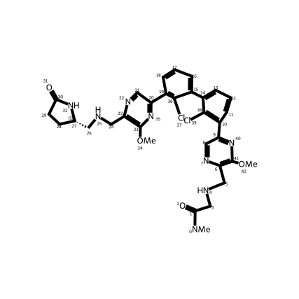 CNC(=O)CNCc1ncc(-c2cccc(-c3cccc(-c4cnc(CNC[C@@H]5CCC(=O)N5)c(OC)n4)c3Cl)c2Cl)nc1OC